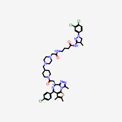 Cc1sc2c(c1C)C(c1ccc(Cl)cc1)=N[C@@H](CC(=O)N1CCC(CN3CCN(CC(=O)NCCCC(=O)NC4=NN(c5ccc(Cl)c(Cl)c5)CC4C)CC3)CC1)c1nnc(C)n1-2